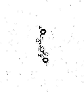 O=C(CSc1ncc(C(=O)Nc2ccc(F)cc2)cn1)OCc1cccc(F)c1